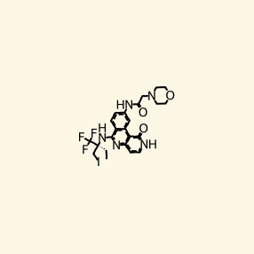 CC[C@@](CI)(Nc1nc2cc[nH]c(=O)c2c2cc(NC(=O)CN3CCOCC3)ccc12)C(F)(F)F